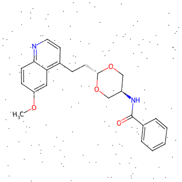 COc1ccc2nccc(CC[C@H]3OC[C@H](NC(=O)c4ccccc4)CO3)c2c1